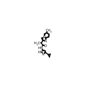 Cc1ccc2nc([C@@H](C)C(=O)Nc3cc(C4CC4)n[nH]3)cn2c1